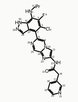 CC(C)Nc1c(F)c(Cl)c(-c2cn3cc(NC(=O)Cc4cccnc4)nc3cn2)c2cn[nH]c12